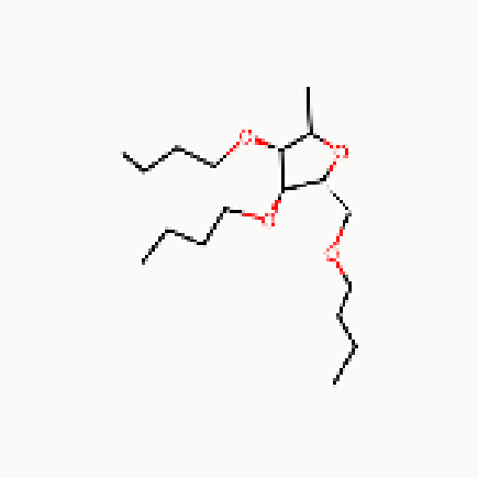 CCCCOC[C@H]1OC(C)[C@H](OCCCC)[C@@H]1OCCCC